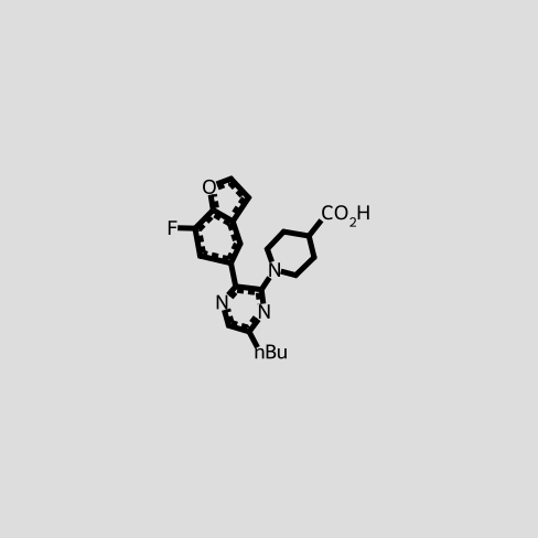 CCCCc1cnc(-c2cc(F)c3occc3c2)c(N2CCC(C(=O)O)CC2)n1